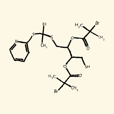 CCC(C)(SCC(OC(=O)C(C)(C)Br)C(CS)OC(=O)C(C)(C)Br)Sc1ccccn1